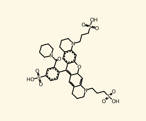 O=C(c1cc(S(=O)(=O)O)ccc1C1=C2C=C3CCCN(CCCS(=O)(=O)O)C3=CC2Oc2cc3c(cc21)CCCN3CCCS(=O)(=O)O)N1CCCCC1